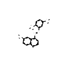 Cc1ccc(N=Nc2cc(S(=O)(=O)O)ccc2S(=O)(=O)O)c2cc(S(=O)(=O)O)ccc12